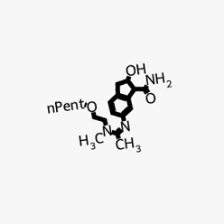 CCCCCOCCN(C)C(C)=Nc1ccc2c(c1)C(C(N)=O)C(O)C2